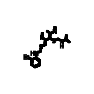 C=NC(=C\SCNc1ccccc1CC)/C(SCNC(=C)C)=C(\C)N=C